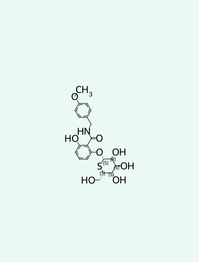 COc1ccc(CNC(=O)c2c(O)cccc2O[C@H]2S[C@@H](CO)[C@@H](O)[C@H](O)[C@H]2O)cc1